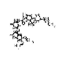 CCSNC1CCN(c2ccc(NC(=O)Nc3cccc(Oc4ccnc5cc(OC)c(OC)cc45)c3)cc2C(F)(F)F)CC1